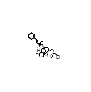 CCC12C[C@@H](OC(=O)CO)[C@@](C)(O1)[C@@H]1CC[C@@H](C)[C@H]1[C@@H]2OC(=O)/C=C/c1ccccc1